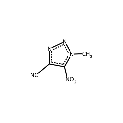 Cn1nnc(C#N)c1[N+](=O)[O-]